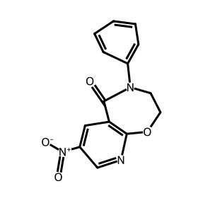 O=C1c2cc([N+](=O)[O-])cnc2OCCN1c1ccccc1